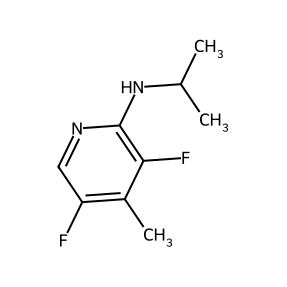 Cc1c(F)cnc(NC(C)C)c1F